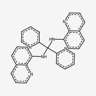 c1ccc(C(Nc2cccc3cccnc23)(Nc2cccc3cccnc23)c2ccccn2)nc1